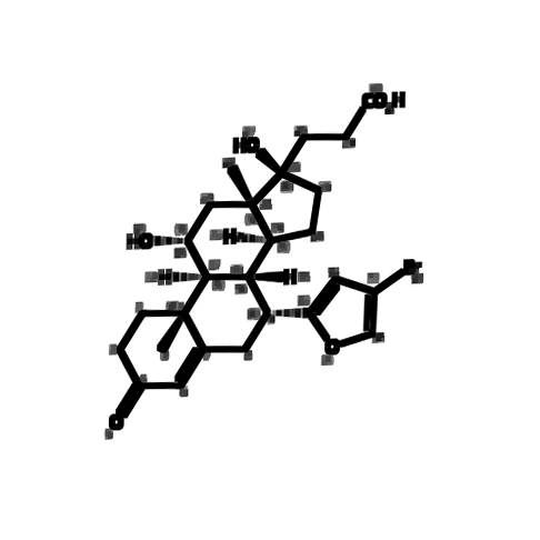 C[C@]12CCC(=O)C=C1C[C@@H](c1cc(Br)co1)[C@@H]1[C@@H]2[C@H](O)C[C@@]2(C)[C@H]1CC[C@@]2(O)CCC(=O)O